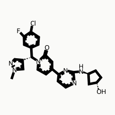 Cn1cc([C@H](c2ccc(Cl)c(F)c2)n2ccc(-c3ccnc(N[C@H]4CC[C@H](O)C4)n3)cc2=O)cn1